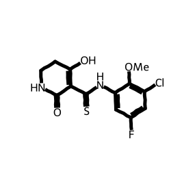 COc1c(Cl)cc(F)cc1NC(=S)C1=C(O)CCNC1=O